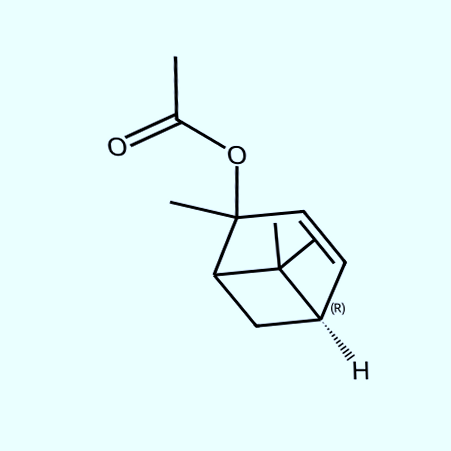 CC(=O)OC1(C)C=C[C@H]2CC1C2(C)C